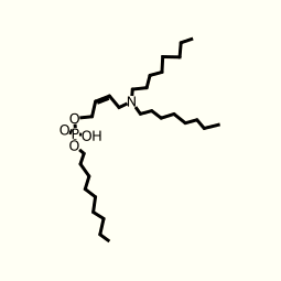 CCCCCCCCCOP(=O)(O)OC/C=C\CN(CCCCCCCC)CCCCCCCC